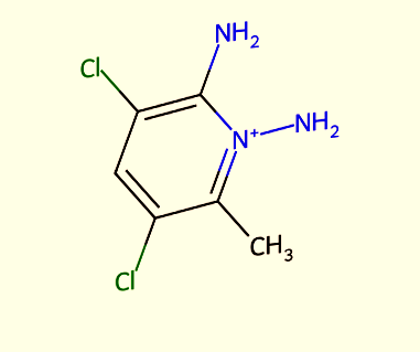 Cc1c(Cl)cc(Cl)c(N)[n+]1N